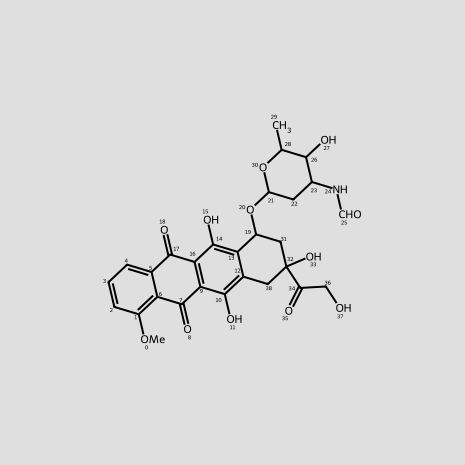 COc1cccc2c1C(=O)c1c(O)c3c(c(O)c1C2=O)C(OC1CC(NC=O)C(O)C(C)O1)CC(O)(C(=O)CO)C3